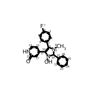 CN1C(c2ccc(F)cc2)=C(c2cc[nH]c(=O)c2)N(O)C1c1ccccc1